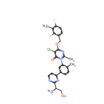 Cc1ccc(-c2ccnc(C(C)CO)n2)cc1-n1c(C)nc(OCc2ccc(F)c(C)c2F)c(Cl)c1=O